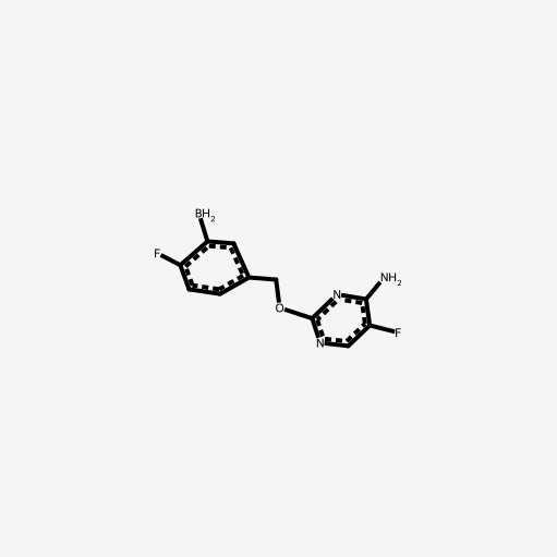 Bc1cc(COc2ncc(F)c(N)n2)ccc1F